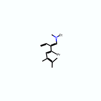 C=CC(=C\N(C)CC)/C(=C/C(C)=C(C)C)C(C)C